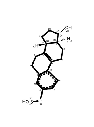 C[C@]12CCC3=C(CCc4cc(OS(=O)(=O)O)ccc43)[C@@H]1CC[C@@H]2O